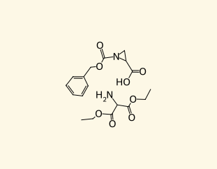 CCOC(=O)C(N)C(=O)OCC.O=C(O)C1CN1C(=O)OCc1ccccc1